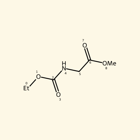 CCOC(=O)NCC(=O)OC